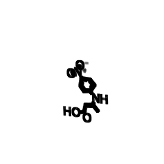 CC(=CC(=O)O)Nc1ccc([N+](=O)[O-])cc1